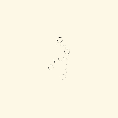 Nc1ccccc1NC(=O)c1ccc(CN(CCCCCN2CCOCC2)C(=O)NC2=COC=C(C3=CC=CCC3)O2)cn1